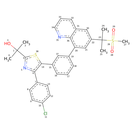 CC(C)(O)c1nc(-c2ccc(Cl)cc2)c(-c2cccc(-c3cc(C(C)(C)S(C)(=O)=O)cc4cccnc34)c2)s1